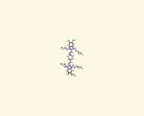 CCCCN1c2cc(CF)c(Cl)cc2N(CC)C1/C=C/N1CCN(/C=C/c2n(CC)c3cc(Cl)c(C)cc3[n+]2CCCC)CC1